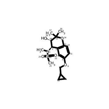 CN([C@@H]1c2cc(OCC3CC3)ccc2OC(C)(C)[C@H]1O)S(C)(=O)=O